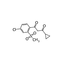 CS(=O)(=O)c1cc(Cl)ccc1C(=O)CC(=O)C1CC1